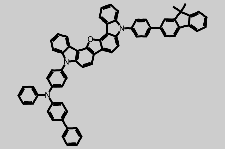 CC1(C)c2ccccc2-c2ccc(-c3ccc(-n4c5ccccc5c5c6oc7c(ccc8c7c7ccccc7n8-c7ccc(N(c8ccccc8)c8ccc(-c9ccccc9)cc8)cc7)c6ccc54)cc3)cc21